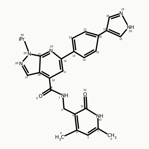 Cc1cc(C)c(CNC(=O)c2cc(-c3ccc(-c4cn[nH]c4)cc3)nc3c2cnn3C(C)C)c(=O)[nH]1